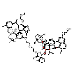 CCOC(=O)CC(c1ccc(C)c(CN2C[C@@H](C)Oc3cc(OCCOCCNC(=O)[C@]4(COc5nc(N6C[C@H]7CC[C@@H](C6)N7C(=O)OC(C)(C)C)c6cnc(-c7cc(OCOC)cc8ccc(F)c(C#C[Si](C(C)C)(C(C)C)C(C)C)c78)c(F)c6n5)CCCN4C)ccc3S2(=O)=O)c1)c1cc(OC)c2c(c1)nnn2C